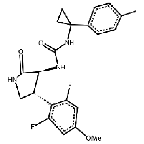 COc1cc(F)c([C@@H]2CNC(=O)[C@H]2NC(=O)NC2(c3ccc(C)cc3)CC2)c(F)c1